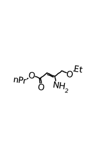 CCCOC(=O)/C=C(\N)COCC